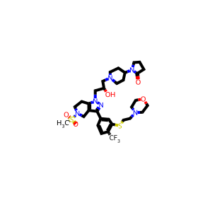 CS(=O)(=O)N1CCc2c(c(-c3ccc(C(F)(F)F)c(SCCN4CCOCC4)c3)nn2CC(O)CN2CCC(N3CCCC3=O)CC2)C1